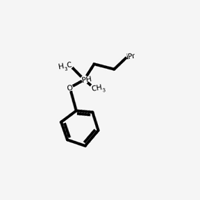 CC(C)CC[PH](C)(C)Oc1ccccc1